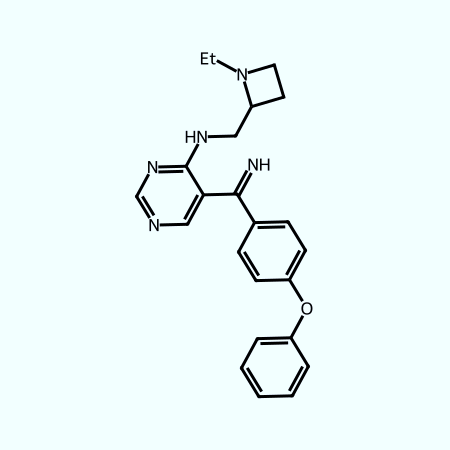 CCN1CCC1CNc1ncncc1C(=N)c1ccc(Oc2ccccc2)cc1